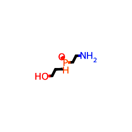 NCC[PH](=O)CCCO